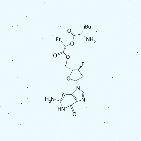 CCC(OC(=O)[C@@H](N)[C@@H](C)CC)C(=O)OC[C@H]1O[C@@H](n2cnc3c(=O)[nH]c(N)nc32)C[C@@H]1F